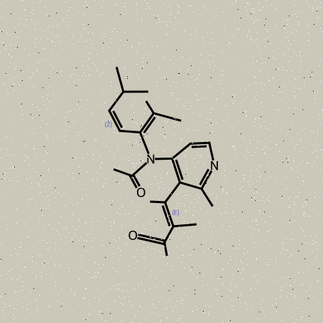 CC(=O)/C(C)=C(\C)c1c(N(C(C)=O)C(/C=C\C(C)C)=C(C)C)ccnc1C